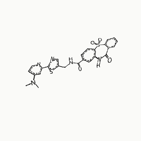 CN(C)c1ccnc(-c2ncc(CNC(=O)c3ccc4c(c3)NC(=O)c3ccccc3S4(=O)=O)s2)c1